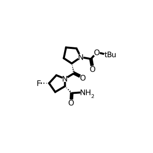 CC(C)(C)OC(=O)N1CCC[C@H]1C(=O)N1C[C@@H](F)C[C@H]1C(N)=O